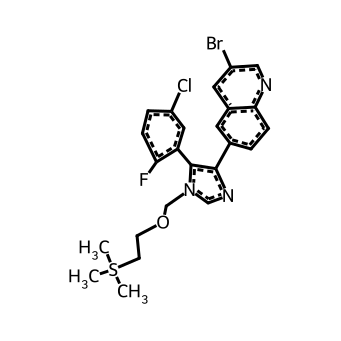 CS(C)(C)CCOCn1cnc(-c2ccc3ncc(Br)cc3c2)c1-c1cc(Cl)ccc1F